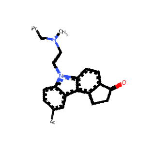 CC(=O)c1ccc2c(c1)c1c3c(ccc1n2CCN(C)CC(C)C)C(=O)CC3